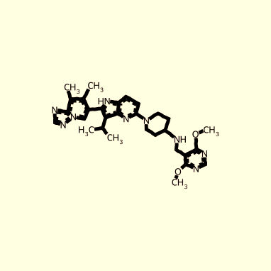 COc1ncnc(OC)c1CNC1CCN(c2ccc3[nH]c(-c4cn5ncnc5c(C)c4C)c(C(C)C)c3n2)CC1